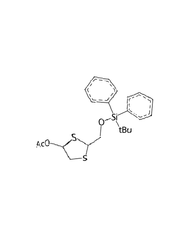 CC(=O)OC1CSC(CO[Si](c2ccccc2)(c2ccccc2)C(C)(C)C)S1